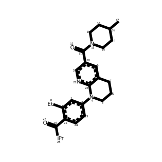 CCc1cc(N2CCCc3cc(C(=O)N4CCC(C)CC4)cnc32)ccc1C(=O)C(C)C